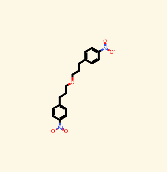 O=[N+]([O-])c1ccc(CCCOCCCc2ccc([N+](=O)[O-])cc2)cc1